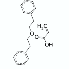 C=CC(=O)O.c1ccc(CCOCCc2ccccc2)cc1